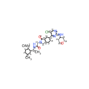 COc1ccc(C)cc1C(C)NC(=O)CN1Cc2ccc(-c3nc(NC4CCOCC4)ncc3Cl)cc2C1=O